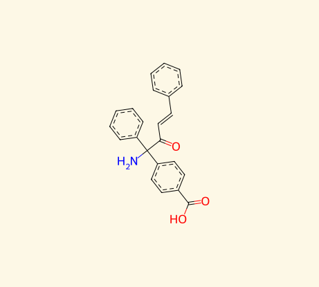 NC(C(=O)C=Cc1ccccc1)(c1ccccc1)c1ccc(C(=O)O)cc1